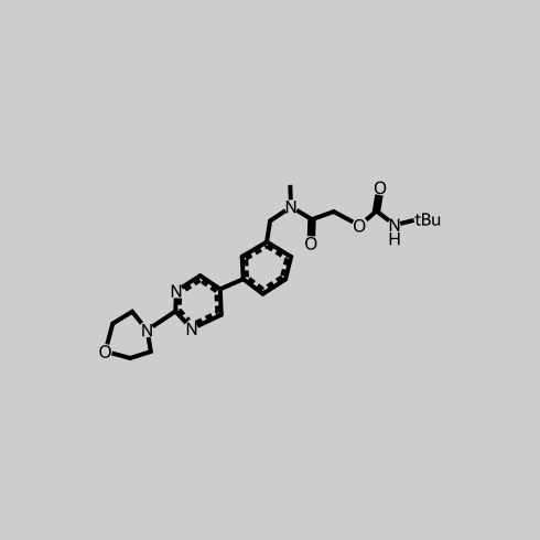 CN(Cc1cccc(-c2cnc(N3CCOCC3)nc2)c1)C(=O)COC(=O)NC(C)(C)C